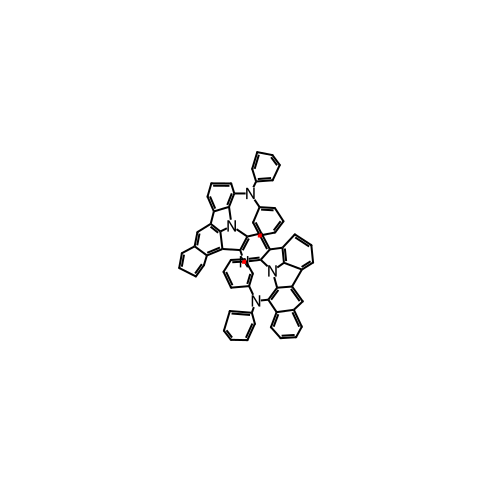 c1ccc(N(c2ccccc2)c2cccc3c4cc5ccccc5c5c6nc7c(cc6n(c23)c45)c2cccc3c4cc5ccccc5c(N(c5ccccc5)c5ccccc5)c4n7c23)cc1